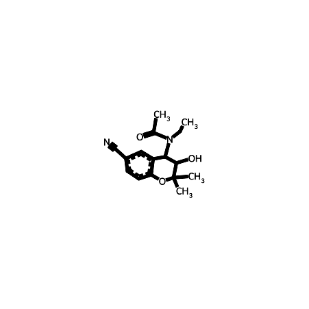 CCN(C(C)=O)C1c2cc(C#N)ccc2OC(C)(C)C1O